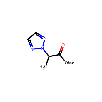 COC(=O)C(C)n1nccn1